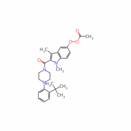 CC(=O)OOc1ccc2c(c1)c(C)c(C(=O)N1CCN(c3ccccc3C(C)(C)C)CC1)n2C